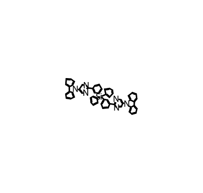 c1ccc([Si](c2ccccc2)(c2cccc(-c3ncc(-n4c5ccccc5c5ccccc54)cn3)c2)c2cccc(-c3ncc(-n4c5ccccc5c5ccccc54)cn3)c2)cc1